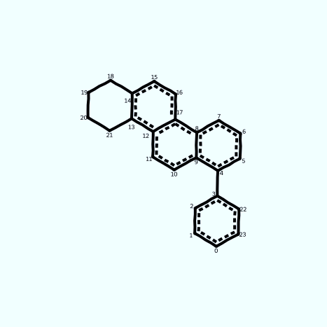 c1ccc(-c2cccc3c2ccc2c4c(ccc23)CCCC4)cc1